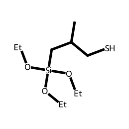 CCO[Si](CC(C)CS)(OCC)OCC